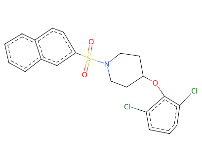 O=S(=O)(c1ccc2ccccc2c1)N1CCC(Oc2c(Cl)cccc2Cl)CC1